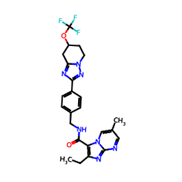 CCc1nc2ncc(C)cn2c1C(=O)NCc1ccc(-c2nc3n(n2)CCC(OC(F)(F)F)C3)cc1